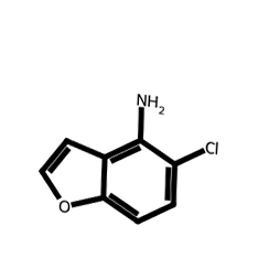 Nc1c(Cl)ccc2occc12